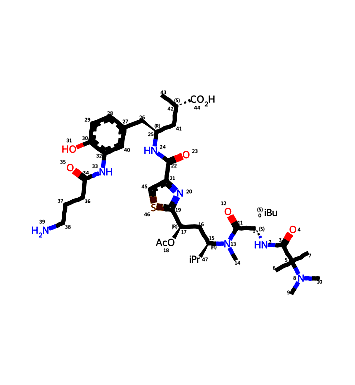 CC[C@H](C)[C@H](NC(=O)C(C)(C)N(C)C)C(=O)N(C)[C@H](C[C@@H](OC(C)=O)c1nc(C(=O)N[C@@H](Cc2ccc(O)c(NC(=O)CCCN)c2)C[C@H](C)C(=O)O)cs1)C(C)C